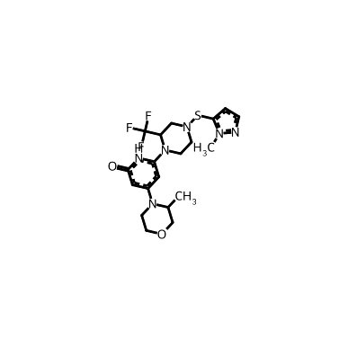 CC1COCCN1c1cc(N2CCN(Sc3ccnn3C)CC2C(F)(F)F)[nH]c(=O)c1